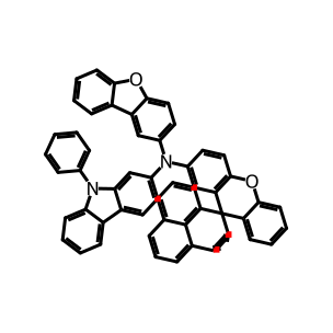 c1ccc(-n2c3ccccc3c3ccc(N(c4ccc5c(c4)C4(c6ccccc6O5)c5ccccc5-c5cccc6cccc4c56)c4ccc5oc6ccccc6c5c4)cc32)cc1